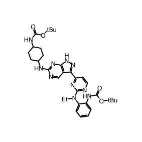 CCN(c1nccc(-c2n[nH]c3nc(NC4CCC(NC(=O)OC(C)(C)C)CC4)ncc23)n1)c1ccccc1NC(=O)OC(C)(C)C